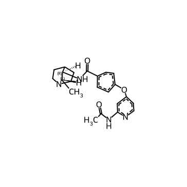 CC(=O)Nc1cc(Oc2ccc(C(=O)N[C@@H]3C4CCN(CC4)[C@H]3C)cc2)ccn1